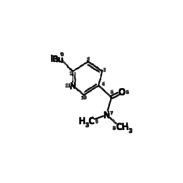 CCC(C)c1ccc(C(=O)N(C)C)cn1